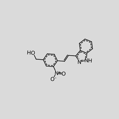 O=[N+]([O-])c1cc(CO)ccc1C=Cc1n[nH]c2ccccc12